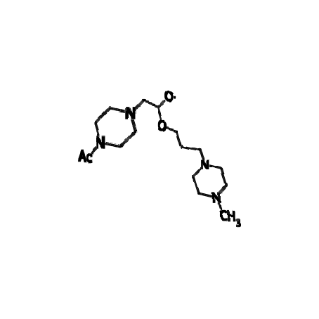 CC(=O)N1CCN(CC([O])OCCCN2CCN(C)CC2)CC1